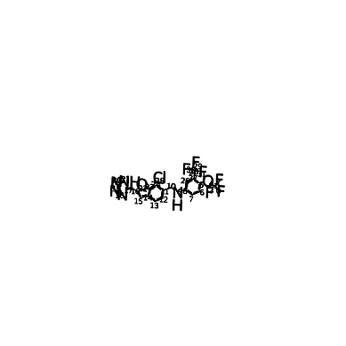 FC(F)(F)Oc1ccc(NCc2ccc3cc(-c4nnn[nH]4)oc3c2Cl)cc1C(F)(F)F